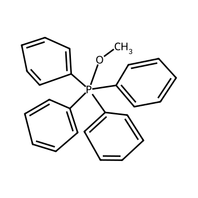 COP(c1ccccc1)(c1ccccc1)(c1ccccc1)c1ccccc1